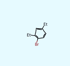 CCc1ccc(Br)c(CC)c1